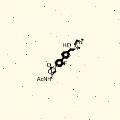 C=N/C=C\N(C)C[C@@H](O)c1ccc(-c2ccc(N3C[C@H](CNC(C)=O)OC3=O)cc2F)cc1